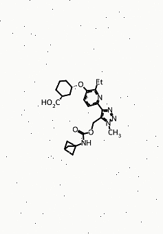 CCc1nc(-c2nnn(C)c2COC(=O)NC23CC(C2)C3)ccc1O[C@H]1CCC[C@H](C(=O)O)C1